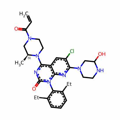 C=CC(=O)N1CCN(c2nc(=O)n(-c3c(CC)cccc3CC)c3nc(N4CCNC(O)C4)c(Cl)cc23)[C@@H](C)C1